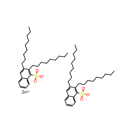 CCCCCCCCCc1cc2ccccc2c(S(=O)(=O)[O-])c1CCCCCCCCC.CCCCCCCCCc1cc2ccccc2c(S(=O)(=O)[O-])c1CCCCCCCCC.[Zn+2]